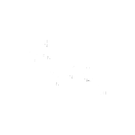 Cc1cc(N[C@@H](C)C(F)(F)F)ncc1-c1sc(C(=O)N[C@H]2C[C@@H]2O)nc1C(=O)N1CCC[C@@H]1C